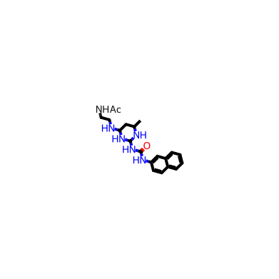 CC(=O)NCCNC1CC(C)NC(NC(=O)Nc2ccc3ccccc3c2)N1